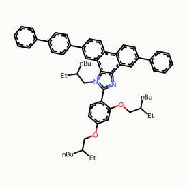 CCCCC(CC)COc1ccc(-c2nc3c4cc(-c5ccccc5)ccc4c4ccc(-c5ccc(-c6ccccc6)cc5)cc4c3n2CC(CC)CCCC)c(OCC(CC)CCCC)c1